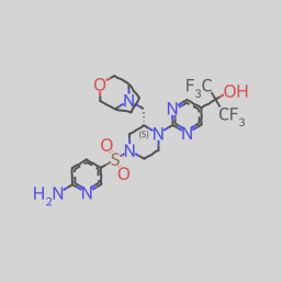 Nc1ccc(S(=O)(=O)N2CCN(c3ncc(C(O)(C(F)(F)F)C(F)(F)F)cn3)[C@@H](CN3C4CCC3COC4)C2)cn1